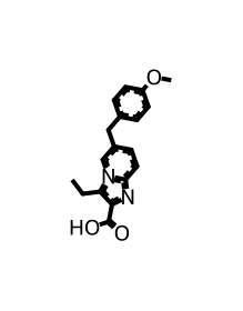 CCc1c(C(=O)O)nc2ccc(Cc3ccc(OC)cc3)cn12